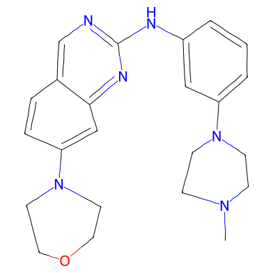 CN1CCN(c2cccc(Nc3ncc4ccc(N5CCOCC5)cc4n3)c2)CC1